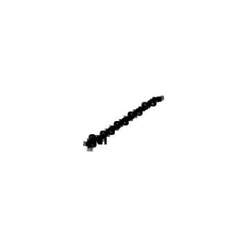 C#CCOCCOCCOCCOCCOCCOCCOCCOCCNC(=O)OC(C)(C)C